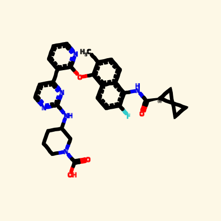 Cc1ccc2c(NC(=O)[C@H]3CC34CC4)c(F)ccc2c1Oc1ncccc1-c1ccnc(NC2CCCN(C(=O)O)C2)n1